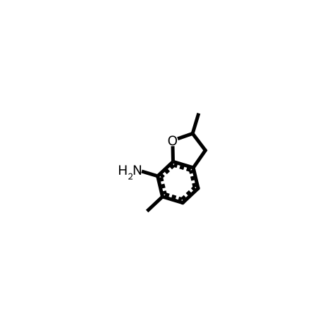 Cc1ccc2c(c1N)OC(C)C2